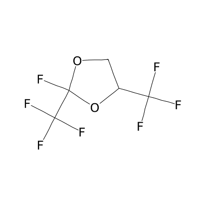 FC(F)(F)C1COC(F)(C(F)(F)F)O1